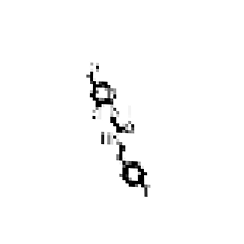 O=Cc1cnc(NCC(=O)NCCc2ccc(F)cc2)c(Cl)c1